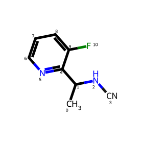 CC(NC#N)c1ncccc1F